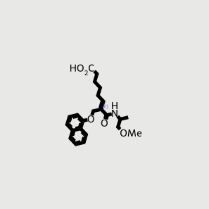 COCC(C)NC(=O)/C(=C/CCCCC(=O)O)COc1cccc2ccccc12